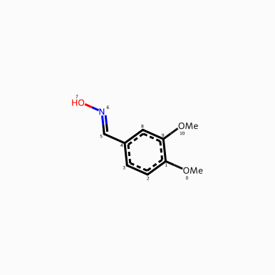 COc1ccc(/C=N/O)cc1OC